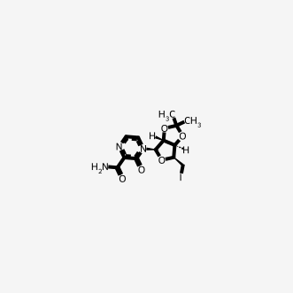 CC1(C)O[C@@H]2[C@@H](O1)[C@@H](CI)O[C@H]2n1ccnc(C(N)=O)c1=O